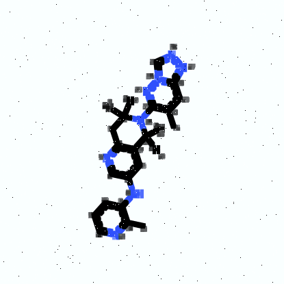 [2H]C1([2H])Cc2ncc(Nc3cccnc3C)cc2C([2H])([2H])N1c1nn2cnnc2cc1C